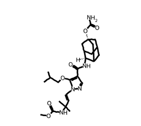 COC(=O)NC(C)(C)/C=C/n1ncc(C(=O)N[C@H]2C3CC4CC2C[C@](OC(N)=O)(C4)C3)c1OCC(C)C